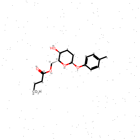 Cc1ccc(O[C@@H]2CC[C@H](O)[C@@H](COC(=O)CCC(=O)O)O2)cc1